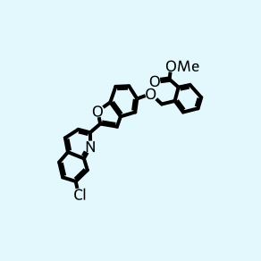 COC(=O)c1ccccc1COc1ccc2oc(-c3ccc4ccc(Cl)cc4n3)cc2c1